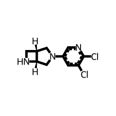 Clc1cc(N2C[C@H]3CN[C@H]3C2)cnc1Cl